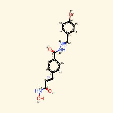 O=C(/C=C/c1ccc(C(=O)N/N=C/c2ccc(Br)cc2)cc1)NO